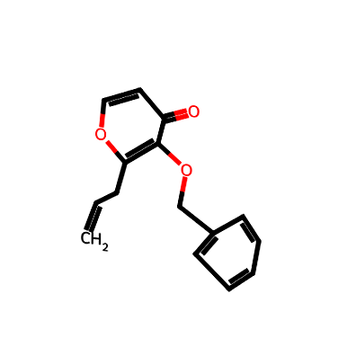 C=CCc1occc(=O)c1OCc1ccccc1